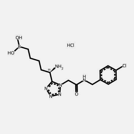 Cl.N[C@H](CCCCB(O)O)c1nnnn1CC(=O)NCc1ccc(Cl)cc1